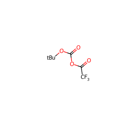 CC(C)(C)OC(=O)OC(=O)C(F)(F)F